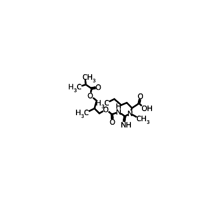 CCCCC(C(=O)O)N(C)C(=N)NC(=O)OCC(C)COC(=O)C(C)C